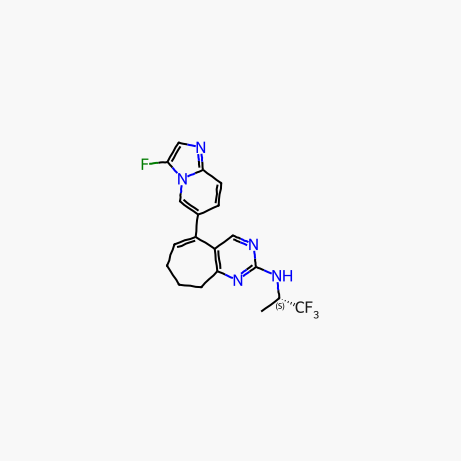 C[C@H](Nc1ncc2c(n1)CCCC=C2c1ccc2ncc(F)n2c1)C(F)(F)F